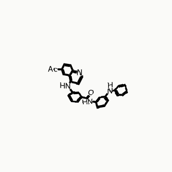 CC(=O)c1ccc2nccc(Nc3cccc(C(=O)Nc4cccc(Nc5ccccc5)c4)c3)c2c1